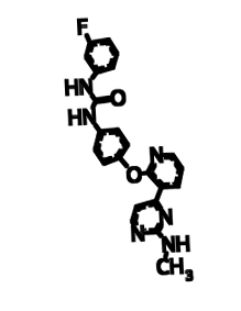 CNc1nccc(-c2cccnc2Oc2ccc(NC(=O)Nc3cccc(F)c3)cc2)n1